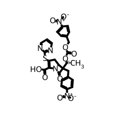 C[C@@H](OC(=O)OCc1ccc([N+](=O)[O-])cc1)C1(Cc2ccc([N+](=O)[O-])cc2)C(=O)N2C(C(=O)O)=C(Sc3ncccn3)CC21